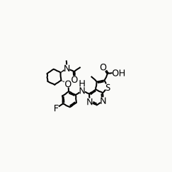 CC(=O)N(C)[C@@H]1CCCC[C@H]1Oc1cc(F)ccc1Nc1ncnc2sc(C(=O)O)c(C)c12